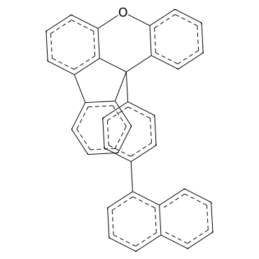 c1ccc2c(c1)Oc1cccc3c1C2(c1ccc(-c2cccc4ccccc24)cc1)c1ccccc1-3